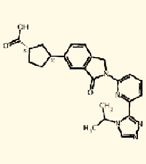 CC(C)n1cnnc1-c1cccc(N2Cc3ccc([C@H]4CC[C@H](C(=O)O)C4)cc3C2=O)n1